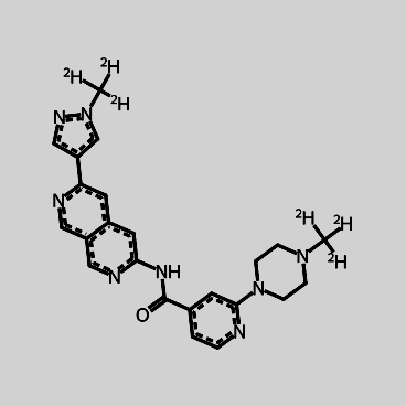 [2H]C([2H])([2H])N1CCN(c2cc(C(=O)Nc3cc4cc(-c5cnn(C([2H])([2H])[2H])c5)ncc4cn3)ccn2)CC1